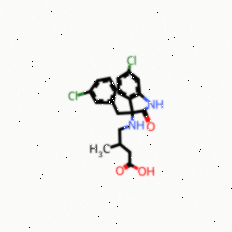 CC(CNC1(Cc2cccc(Cl)c2)C(=O)Nc2cc(Cl)ccc21)CC(=O)O